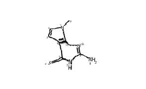 Cn1ccc2c(=S)[nH]c(N)nc21